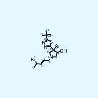 CC(Br)C=CCN1CC(O)[N+]([O-])(c2nnc(C(C)(C)C)s2)C1